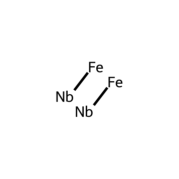 [Fe][Nb].[Fe][Nb]